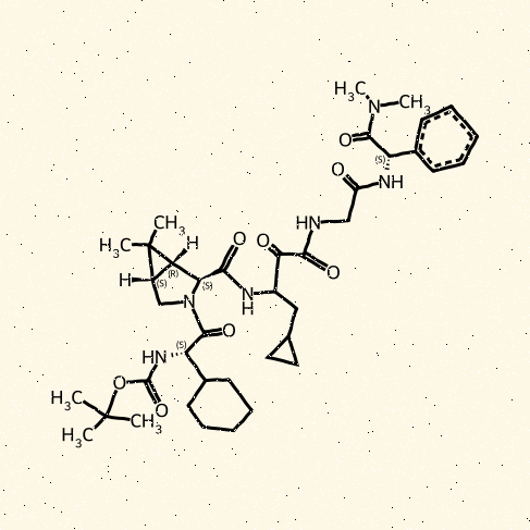 CN(C)C(=O)[C@@H](NC(=O)CNC(=O)C(=O)C(CC1CC1)NC(=O)[C@@H]1[C@@H]2[C@H](CN1C(=O)[C@@H](NC(=O)OC(C)(C)C)C1CCCCC1)C2(C)C)c1ccccc1